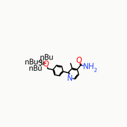 CCCC[Si](CCCC)(CCCC)OCc1ccc(-c2nccc(C(N)=O)c2C)cc1